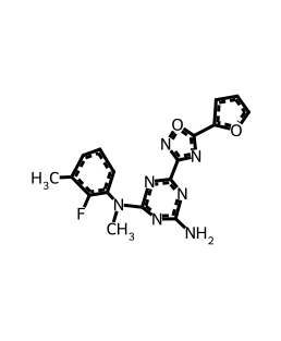 Cc1cccc(N(C)c2nc(N)nc(-c3noc(-c4ccco4)n3)n2)c1F